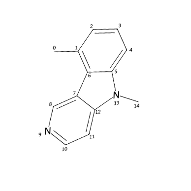 Cc1cccc2c1c1cnccc1n2C